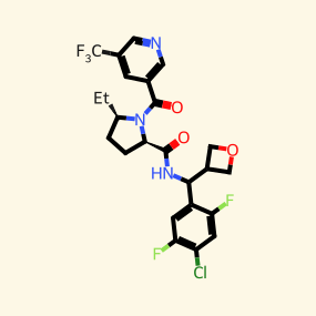 CC[C@@H]1CC[C@H](C(=O)NC(c2cc(F)c(Cl)cc2F)C2COC2)N1C(=O)c1cncc(C(F)(F)F)c1